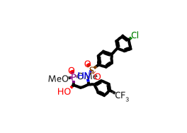 COP(=O)(OC)C(O)CC(NS(=O)(=O)c1ccc(-c2ccc(Cl)cc2)cc1)c1ccc(C(F)(F)F)cc1